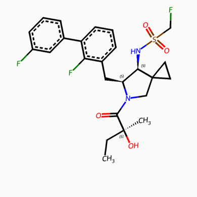 CC[C@](C)(O)C(=O)N1CC2(CC2)[C@H](NS(=O)(=O)CF)[C@@H]1Cc1cccc(-c2cccc(F)c2)c1F